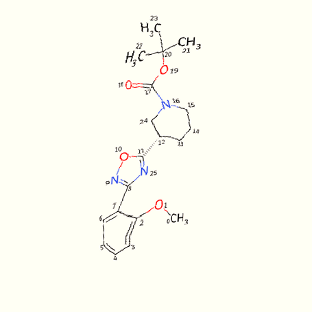 COc1ccccc1-c1noc([C@H]2CCCN(C(=O)OC(C)(C)C)C2)n1